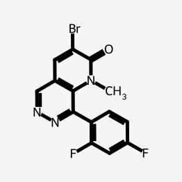 Cn1c(=O)c(Br)cc2cnnc(-c3ccc(F)cc3F)c21